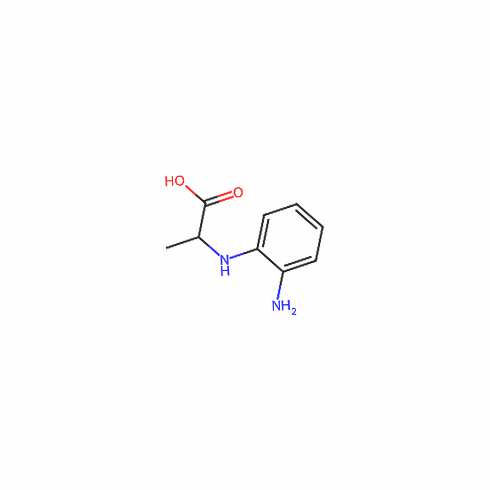 CC(Nc1ccccc1N)C(=O)O